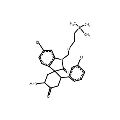 COC1CC2(C(=O)N(COCC[Si](C)(C)C)c3cc(Cl)ccc32)C(c2cccc(Cl)c2)CC1=O